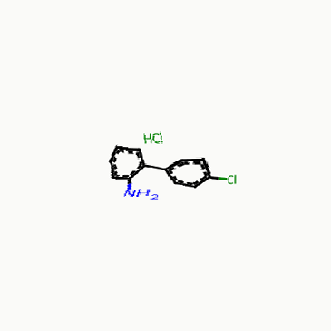 Cl.Nc1ccccc1-c1ccc(Cl)cc1